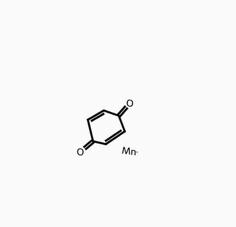 O=C1C=CC(=O)C=C1.[Mn]